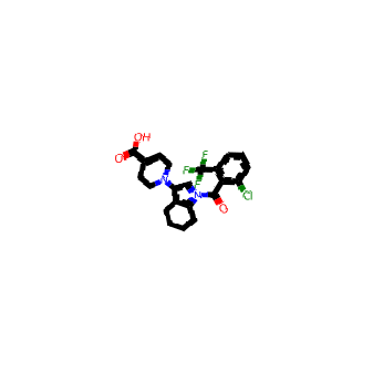 O=C(O)C1=CCN(c2cn(C(=O)c3c(Cl)cccc3C(F)(F)F)c3c2CCCC3)CC1